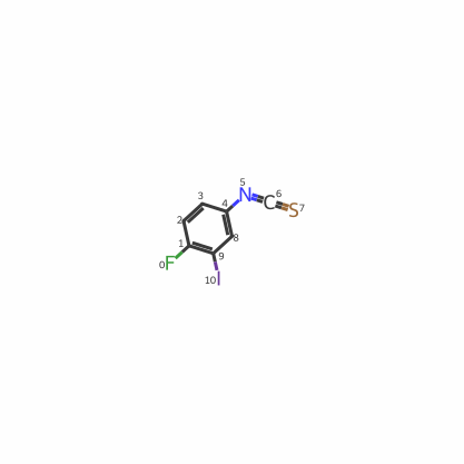 Fc1ccc(N=C=S)cc1I